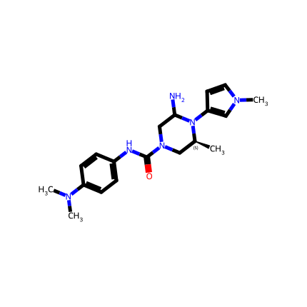 C[C@H]1CN(C(=O)Nc2ccc(N(C)C)cc2)CC(N)N1c1ccn(C)c1